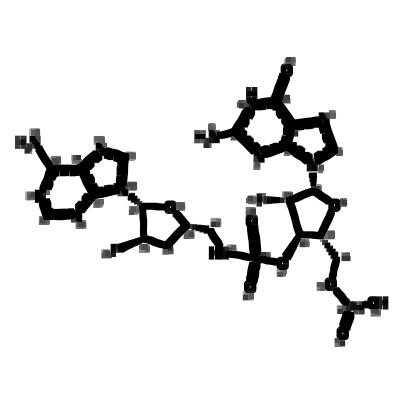 Nc1nc2c(ncn2[C@@H]2O[C@H](CO[PH](=O)O)[C@@H](OS(=O)(=O)NC[C@@H]3C[C@@H](F)[C@H](n4cnc5c(N)ncnc54)O3)[C@@H]2F)c(=O)[nH]1